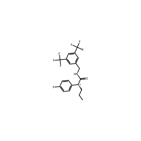 CCC[C@H](C(=O)NCc1cc(C(F)(F)F)cc(C(F)(F)F)c1)c1ccc(F)cc1